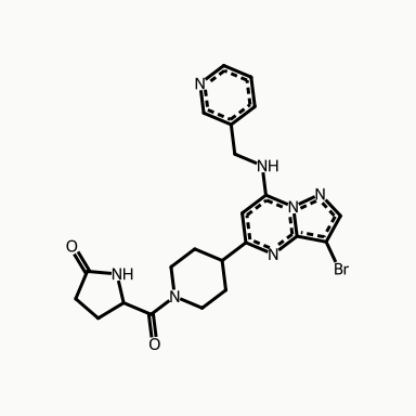 O=C1CCC(C(=O)N2CCC(c3cc(NCc4cccnc4)n4ncc(Br)c4n3)CC2)N1